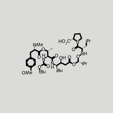 CC[C@H](C)[C@@H](NC(=O)[C@@H](NC(=O)OC(C)(C)C)[C@@H](C)OC(=O)[C@H](Cc1ccc(OC)cc1)NC)[C@@H](O)CC(=O)O[C@H](ON[C@@H](CC(C)C)C(=O)N1CCC[C@H]1C(=O)O)C(C)C